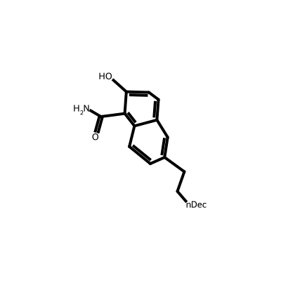 CCCCCCCCCCCCc1ccc2c(C(N)=O)c(O)ccc2c1